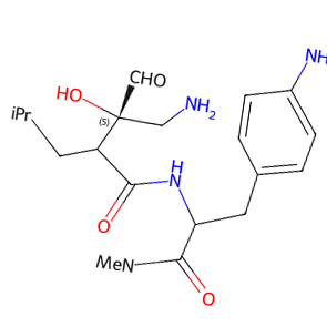 CNC(=O)C(Cc1ccc(N)cc1)NC(=O)C(CC(C)C)[C@@](O)(C=O)CN